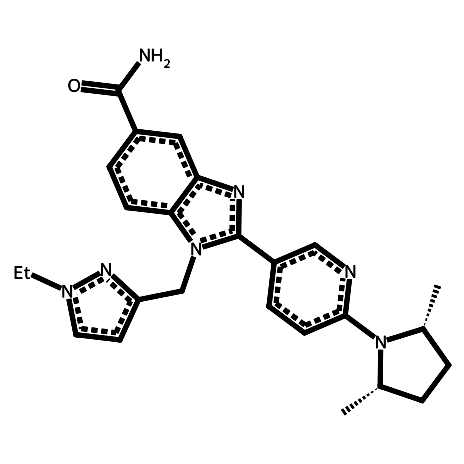 CCn1ccc(Cn2c(-c3ccc(N4[C@H](C)CC[C@@H]4C)nc3)nc3cc(C(N)=O)ccc32)n1